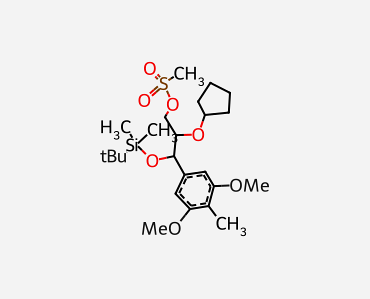 COc1cc(C(O[Si](C)(C)C(C)(C)C)C(COS(C)(=O)=O)OC2CCCC2)cc(OC)c1C